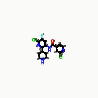 O=C(Nc1cc(F)c(Cl)nc1C1CCNCC1)c1ccnc(Cl)c1